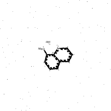 COc1cccc2cccnc12.Cl